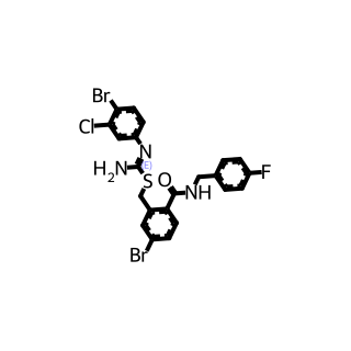 N/C(=N\c1ccc(Br)c(Cl)c1)SCc1cc(Br)ccc1C(=O)NCc1ccc(F)cc1